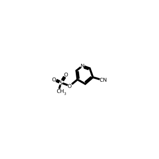 CS(=O)(=O)Oc1cncc(C#N)c1